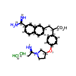 CC(=N)N1CC[C@H](Oc2ccc(C(Cc3ccc4ccc(C(=N)N)cc4c3)C(=O)O)cc2)C1.Cl.Cl